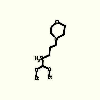 CCOC(OCC)[SiH2]CCCN1CCOCC1